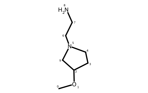 COC1CCN(CCN)C1